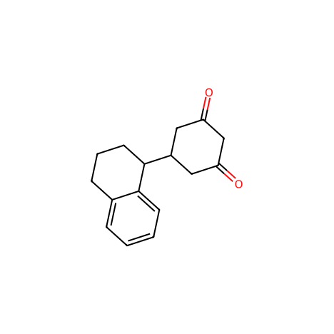 O=C1CC(=O)CC(C2CCCc3ccccc32)C1